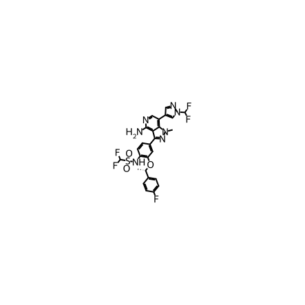 C[C@H](Oc1cc(-c2nn(C)c3c(-c4cnn(C(F)F)c4)cnc(N)c23)ccc1NS(=O)(=O)C(F)F)c1ccc(F)cc1